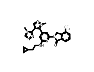 Cn1cnnc1-c1cnn(C)c1-c1cc(NCCC2CC2)nc(N2Cc3c(cccc3C(F)(F)F)C2=O)c1